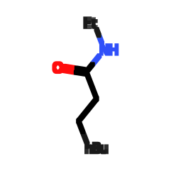 CCCCCCC(=O)NCC